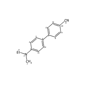 CCN(C)c1ccc(-c2ccc(C#N)cc2)cc1